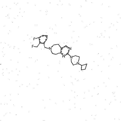 FCc1c(F)cccc1CN1CCc2cnc(N3CCN(C4CCC4)CC3)nc2CC1